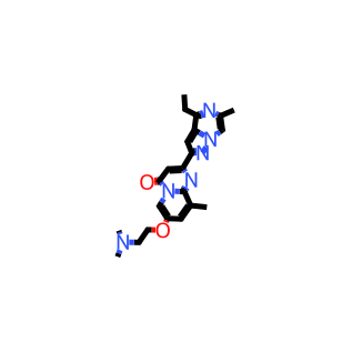 CCc1nc(C)cn2nc(-c3cc(=O)n4cc(OCCN(C)C)cc(C)c4n3)cc12